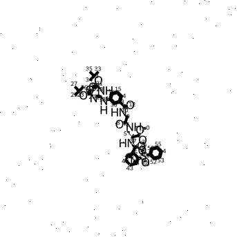 COC(=O)[C@@H](CNC(=O)CNC(=O)c1cccc(N/C(=N/C(=O)OC(C)(C)C)NC(=O)OC(C)(C)C)c1)NC(=O)C1C2CCC(CC2)N1S(=O)(=O)c1ccccc1